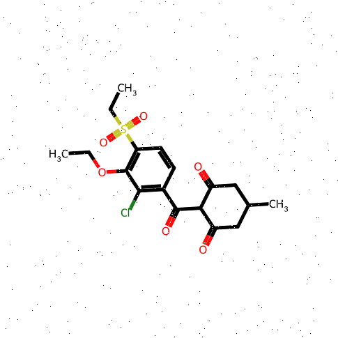 CCOc1c(S(=O)(=O)CC)ccc(C(=O)C2C(=O)CC(C)CC2=O)c1Cl